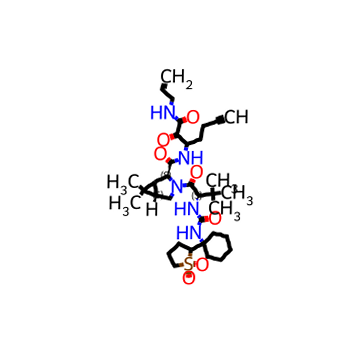 C#CCCC(NC(=O)[C@@H]1C2[C@H](CN1C(=O)[C@@H](NC(=O)NC1(C3CCCS3(=O)=O)CCCCC1)C(C)(C)C)C2(C)C)C(=O)C(=O)NCC=C